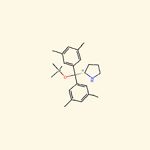 Cc1cc(C)cc(C(O[Si](C)(C)C)(c2cc(C)cc(C)c2)[C@@H]2CCCN2)c1